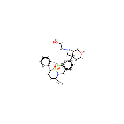 C[C@H]1CC[C@H](c2ccccc2)S(=O)(=O)N1Cc1ccc(C2(CNCCO)CCOCC2)cc1F